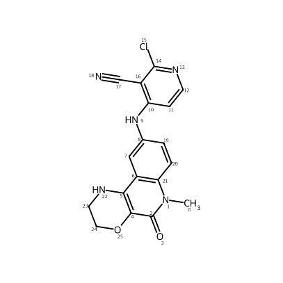 Cn1c(=O)c2c(c3cc(Nc4ccnc(Cl)c4C#N)ccc31)NCCO2